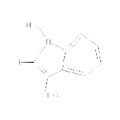 Cn1c(I)c(C=O)c2ccccc21